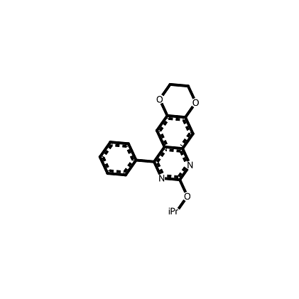 CC(C)Oc1nc(-c2ccccc2)c2cc3c(cc2n1)OCCO3